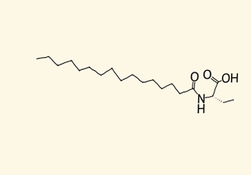 CCCCCCCCCCCCCCCC(=O)N[C@@H](CC)C(=O)O